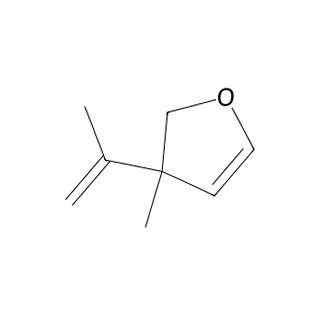 C=C(C)C1(C)C=COC1